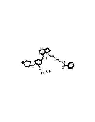 Cl.Cl.O=C(OCCOCCn1ccc2ncnc(Nc3ccc(OC4CCNCC4)c(Cl)c3)c21)c1ccccc1